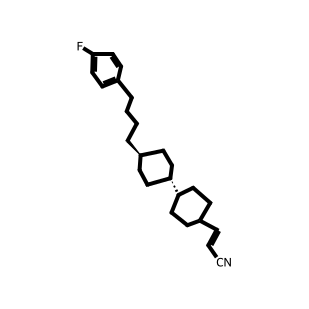 N#C/C=C/C1CCC([C@H]2CC[C@H](CCCCc3ccc(F)cc3)CC2)CC1